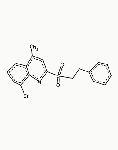 CCc1cccc2c(C)cc(S(=O)(=O)CCc3ccccc3)nc12